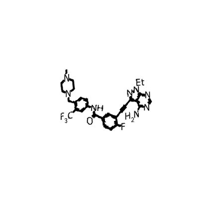 CCn1nc(C#Cc2cc(C(=O)Nc3ccc(CN4CCN(C)CC4)c(C(F)(F)F)c3)ccc2F)c2c(N)ncnc21